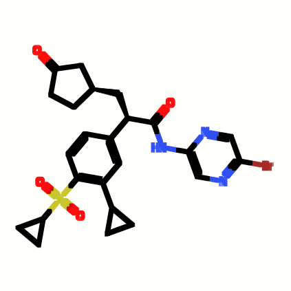 O=C1CC[C@H](C[C@@H](C(=O)Nc2cnc(Br)cn2)c2ccc(S(=O)(=O)C3CC3)c(C3CC3)c2)C1